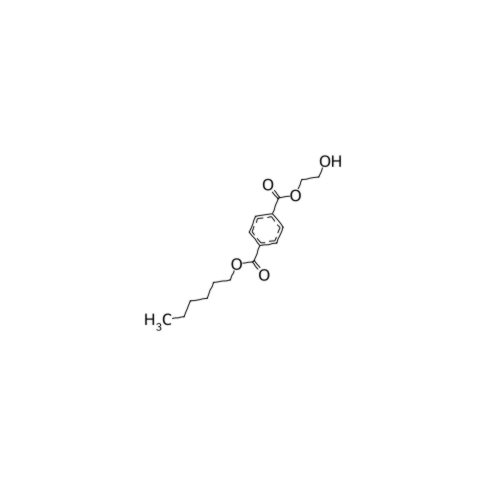 CCCCCCOC(=O)c1ccc(C(=O)OCCO)cc1